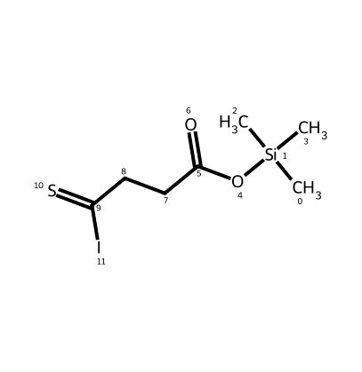 C[Si](C)(C)OC(=O)CCC(=S)I